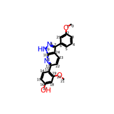 COc1cccc(-c2n[nH]c3nc(-c4ccc(O)cc4OC)ccc23)c1